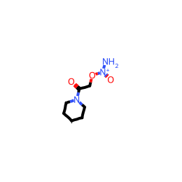 N[N+](=O)OCC(=O)N1CC[CH]CC1